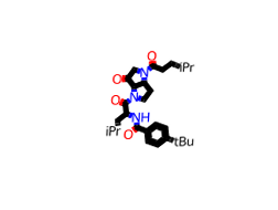 CC(C)CCC(=O)N1CC(=O)C2C1CCN2C(=O)C(CC(C)C)NC(=O)c1ccc(C(C)(C)C)cc1